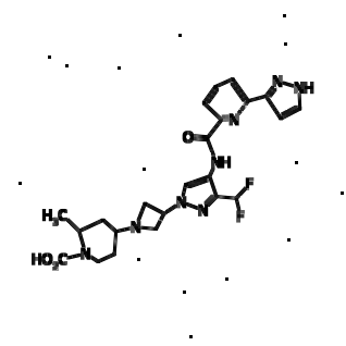 CC1CC(N2CC(n3cc(NC(=O)c4cccc(-c5cc[nH]n5)n4)c(C(F)F)n3)C2)CCN1C(=O)O